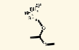 COC(C)OC.[Al+3].[BH4-].[BH4-].[BH4-]